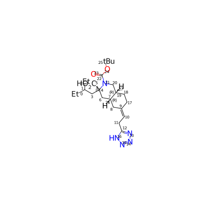 CCC(CC)C[C@@]1(C(=O)O)C[C@H]2CC(=CCc3nnn[nH]3)CC[C@H]2CN1C(=O)OC(C)(C)C